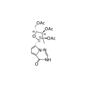 CC(=O)OC[C@H]1O[C@@H](c2ccc3c(=O)[nH]cnn23)[C@](C)(OC(C)=O)[C@@H]1OC(C)=O